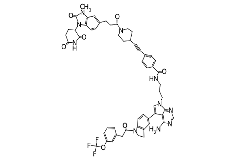 Cn1c(=O)n(C2CCC(=O)NC2=O)c2ccc(CCC(=O)N3CCC(C#Cc4ccc(C(=O)NCCCn5cc(-c6ccc7c(c6)CCN7C(=O)Cc6cccc(OC(F)(F)F)c6)c6c(N)ncnc65)cc4)CC3)cc21